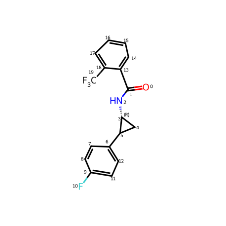 O=C(N[C@@H]1CC1c1ccc(F)cc1)c1ccccc1C(F)(F)F